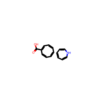 C1=CC=CNC=C1.O=C(O)C1=CC=CC=CC=C1